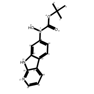 CC(C)(C)OC(=O)N(O)c1ccc2c(c1)[nH]c1ncccc12